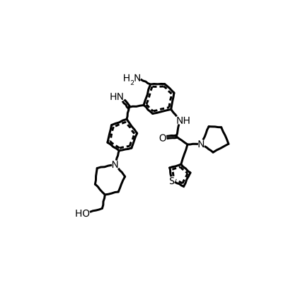 N=C(c1ccc(N2CCC(CO)CC2)cc1)c1cc(NC(=O)C(c2ccsc2)N2CCCC2)ccc1N